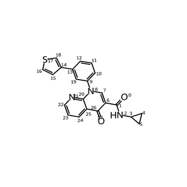 O=C(NC1CC1)c1cn(-c2cccc(-c3ccsc3)c2)c2ncccc2c1=O